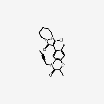 CC#CCN1C(=O)C(C)Oc2cc(F)c(-c3c(Cl)n4n(c3=O)CCCCC4)cc21